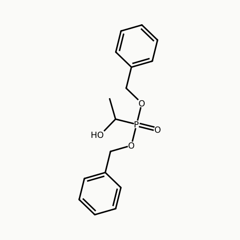 CC(O)P(=O)(OCc1ccccc1)OCc1ccccc1